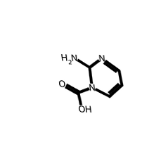 NC1N=CC=CN1C(=O)O